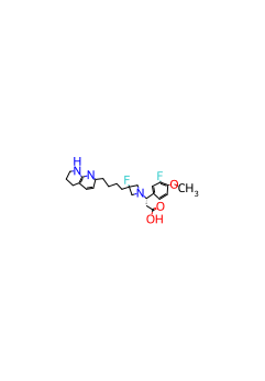 COc1ccc([C@H](CC(=O)O)N2CC(F)(CCCCc3ccc4c(n3)NCCC4)C2)cc1F